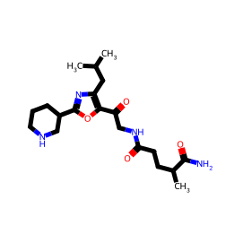 CC(C)Cc1nc(C2CCCNC2)oc1C(=O)CNC(=O)[CH]CC(C)C(N)=O